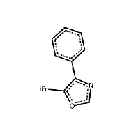 CC(C)c1ocnc1-c1ccccc1